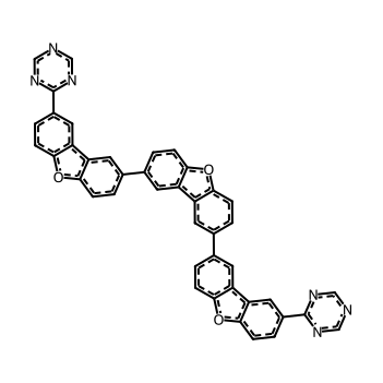 c1ncnc(-c2ccc3oc4ccc(-c5ccc6oc7ccc(-c8ccc9oc%10ccc(-c%11ncncn%11)cc%10c9c8)cc7c6c5)cc4c3c2)n1